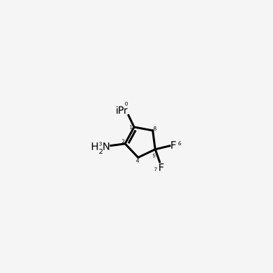 CC(C)C1=C(N)CC(F)(F)C1